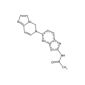 CC(=O)Nc1nc2ccc(N3C=CC4=NC=C[N+]4C3)nc2s1